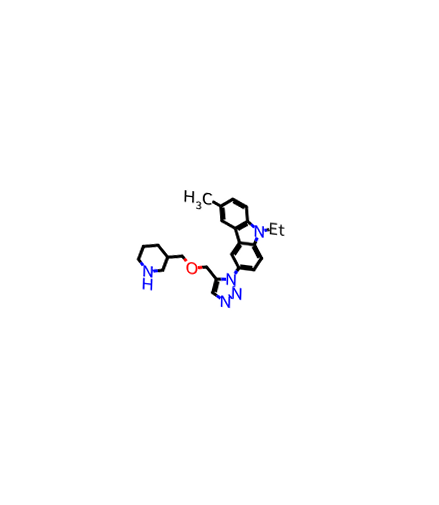 CCn1c2ccc(C)cc2c2cc(-n3nncc3COCC3CCCNC3)ccc21